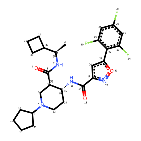 C[C@@H](NC(=O)[C@@H]1CN(C2CCCC2)CC[C@H]1NC(=O)c1cc(-c2c(F)cc(F)cc2F)on1)C1CCC1